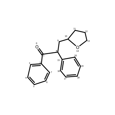 O=C(c1ccccc1)C(CC1CCCO1)c1ccccc1